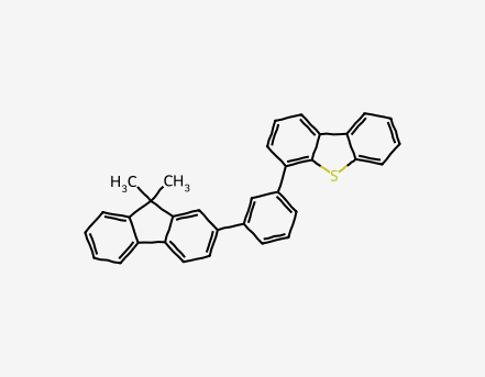 CC1(C)c2ccccc2-c2ccc(-c3cccc(-c4cccc5c4sc4ccccc45)c3)cc21